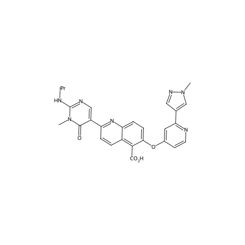 CC(C)Nc1ncc(-c2ccc3c(C(=O)O)c(Oc4ccnc(-c5cnn(C)c5)c4)ccc3n2)c(=O)n1C